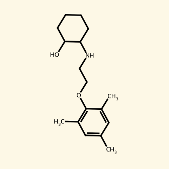 Cc1cc(C)c(OCCNC2CCCCC2O)c(C)c1